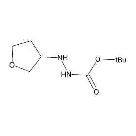 CC(C)(C)OC(=O)NNC1CCOC1